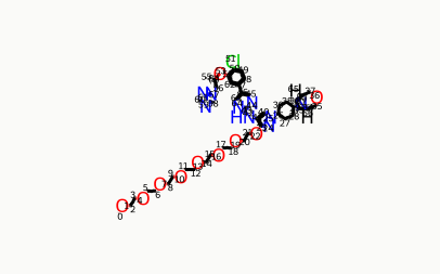 COCCOCCOCCOCCOCCOCCOCCOc1nn([C@H]2CC[C@H](N3[C@@H]4CC[C@H]3COC4)CC2)cc1Nc1ncc(-c2ccc(Cl)c(O[C@@H](C)Cn3cncn3)c2)cn1